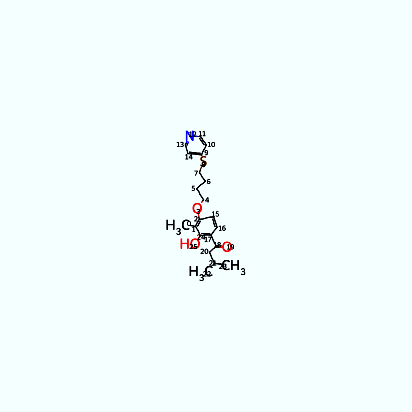 Cc1c(OCCCCSc2ccncc2)ccc(C(=O)CC(C)C)c1O